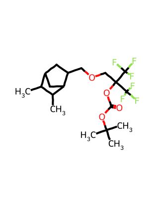 CC1C2CC(COCC(OC(=O)OC(C)(C)C)(C(F)(F)F)C(F)(F)F)C(C2)C1C